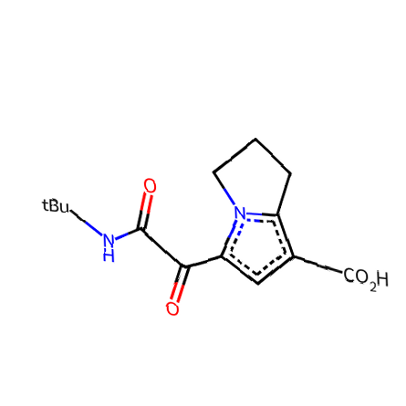 CC(C)(C)NC(=O)C(=O)c1cc(C(=O)O)c2n1CCC2